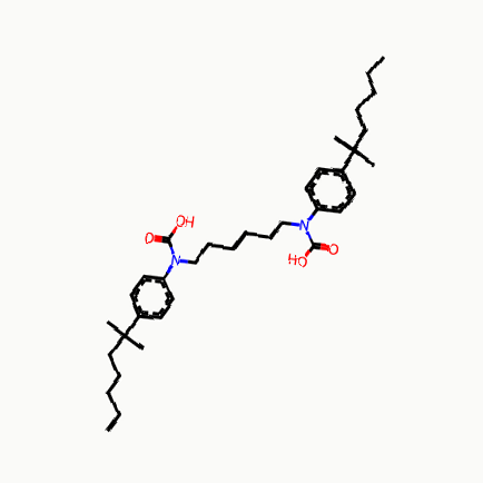 CCCCCC(C)(C)c1ccc(N(CCCCCCN(C(=O)O)c2ccc(C(C)(C)CCCCC)cc2)C(=O)O)cc1